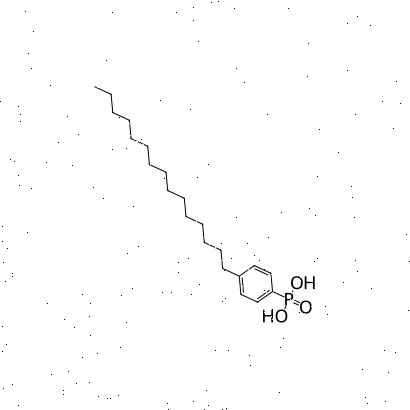 CCCCCCCCCCCCCCCc1ccc(P(=O)(O)O)cc1